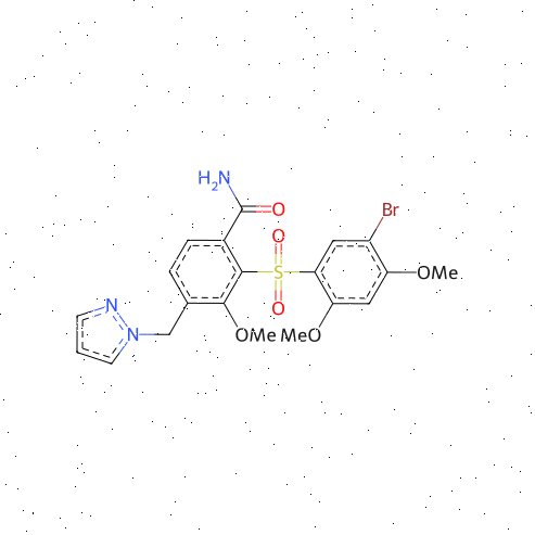 COc1cc(OC)c(S(=O)(=O)c2c(C(N)=O)ccc(Cn3cccn3)c2OC)cc1Br